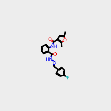 Cc1cc(C(=O)Nc2ccccc2C(=O)N/N=C/c2ccc(F)cc2)c(C)o1